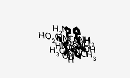 C[C@@H](O)[C@H](NC(=O)[C@@H]1CCCN1C(=O)[C@@H](NC(=O)[C@@H](N)Cc1ccccc1)[C@@H](C)O)C(=O)N[C@@H](CCC(=O)O)C(=O)N[C@@H](CCCCN)C(=O)O